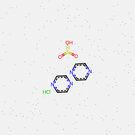 Cl.O=[SH](=O)O.c1cnccn1.c1cnccn1